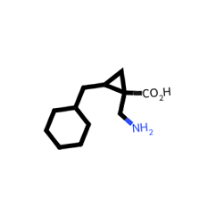 NCC1(C(=O)O)CC1CC1CCCCC1